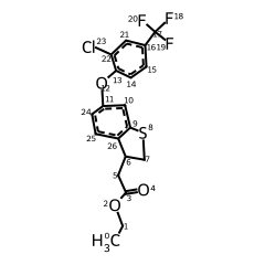 CCOC(=O)CC1CSc2cc(Oc3ccc(C(F)(F)F)cc3Cl)ccc21